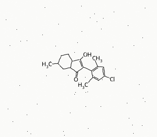 Cc1cc(Cl)cc(C)c1C1=C(O)C2CCC(C)CC2C1=O